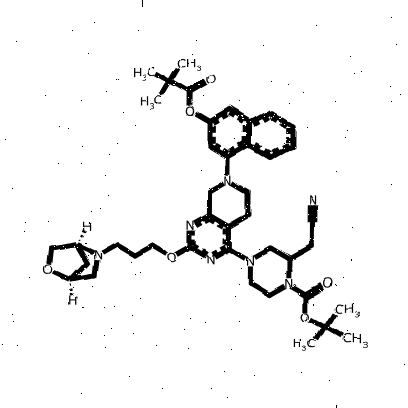 CC(C)(C)OC(=O)N1CCN(c2nc(OCCCN3C[C@@H]4C[C@H]3CO4)nc3c2CCN(c2cc(OC(=O)C(C)(C)C)cc4ccccc24)C3)CC1CC#N